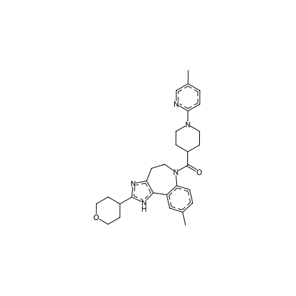 Cc1ccc(N2CCC(C(=O)N3CCc4nc(C5CCOCC5)[nH]c4-c4cc(C)ccc43)CC2)nc1